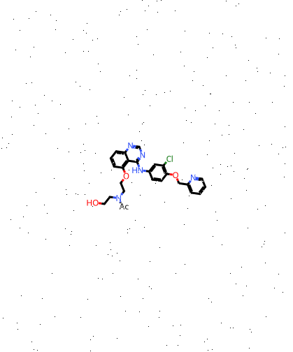 CC(=O)N(CCO)CCOc1cccc2ncnc(Nc3ccc(OCc4ccccn4)c(Cl)c3)c12